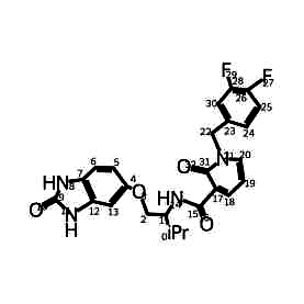 CC(C)C(COc1ccc2[nH]c(=O)[nH]c2c1)NC(=O)c1cccn(Cc2ccc(F)c(F)c2)c1=O